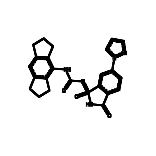 O=C(N=S1(=O)NC(=O)c2ccc(-n3cccn3)cc21)Nc1c2c(cc3c1CCC3)CCC2